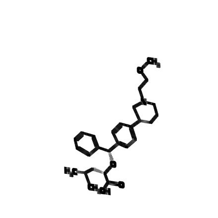 COCCN1CCCC(c2ccc([C@H](O[C@@H](CC(C)C)C(=O)O)c3ccccc3)cc2)C1